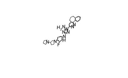 Nc1nc(Nc2ccc(N3CCC(N4CCCC4)C3)c(F)c2)nn1-c1cc2c(nn1)-c1ccccc1CCC2